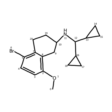 COc1ccc(Br)c2c1CC(NC(C1CC1)C1CC1)CC2